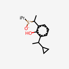 CC(c1cccc(C(C)[S+]([O-])C(C)C)c1O)C1CC1